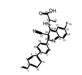 C=Cc1ccc(-c2ccc(-c3nc4ccc(F)cc4c(NC(C)C(=O)O)c3C#N)cc2)cc1